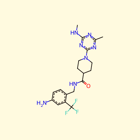 CNc1nc(C)nc(N2CCC(C(=O)NCc3ccc(N)cc3C(F)(F)F)CC2)n1